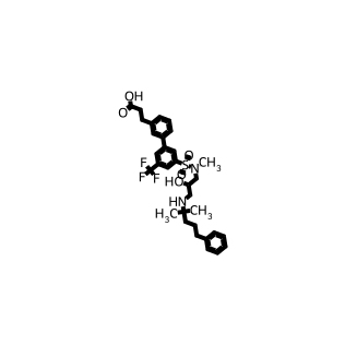 CN(CC(O)CNC(C)(C)CCCc1ccccc1)S(=O)(=O)c1cc(-c2cccc(CCC(=O)O)c2)cc(C(F)(F)F)c1